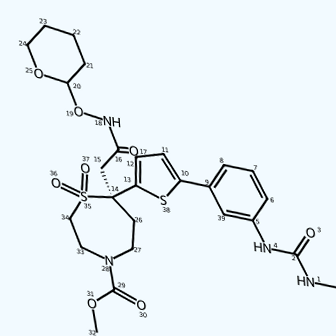 CNC(=O)Nc1cccc(-c2ccc([C@@]3(CC(=O)NOC4CCCCO4)CCN(C(=O)OC)CCS3(=O)=O)s2)c1